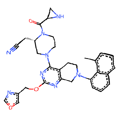 Cc1cccc2cccc(N3CCc4c(nc(OCc5cocn5)nc4N4CCN(C(=O)C5CN5)[C@@H](CC#N)C4)C3)c12